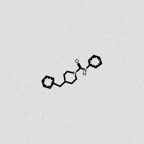 O=C(Nc1ccccc1)N1CCC(Cc2ccccc2)CC1